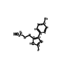 Cc1nc(-c2ccc(F)cc2)c(CCC(=O)O)o1